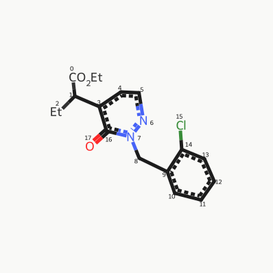 CCOC(=O)C(CC)c1ccnn(Cc2ccccc2Cl)c1=O